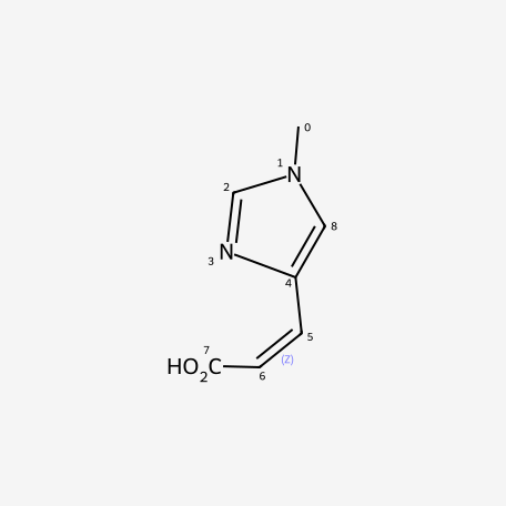 Cn1cnc(/C=C\C(=O)O)c1